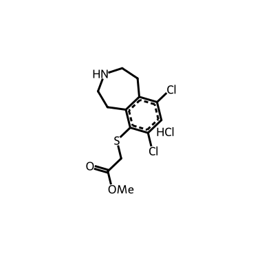 COC(=O)CSc1c(Cl)cc(Cl)c2c1CCNCC2.Cl